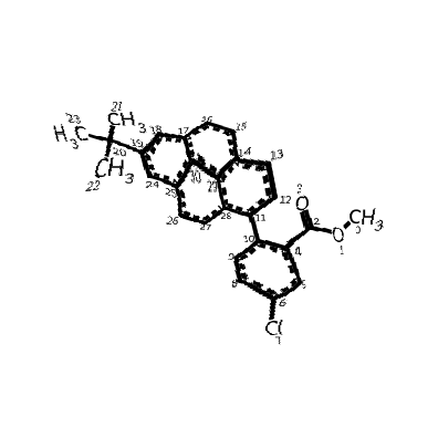 COC(=O)c1cc(Cl)ccc1-c1ccc2ccc3cc(C(C)(C)C)cc4ccc1c2c34